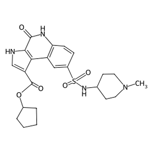 CN1CCC(NS(=O)(=O)c2ccc3[nH]c(=O)c4[nH]cc(C(=O)OC5CCCC5)c4c3c2)CC1